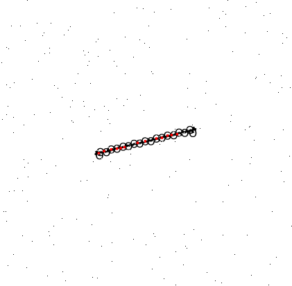 C=C(C)C(=O)OCCOCCOCCOCCOCCOCCOCCOCCOCCOCCOCCOCCOCCOCCOCCOCCOC(=O)C(=C)C